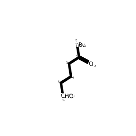 CCCCC(=O)CCC[C]=O